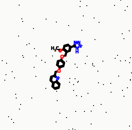 COc1ccc(-c2nnn[nH]2)cc1COc1ccc(OCc2ccc3ccccc3n2)cc1